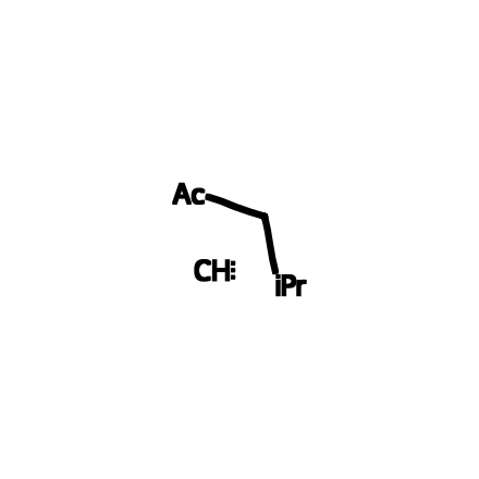 CC(=O)CC(C)C.[CH]